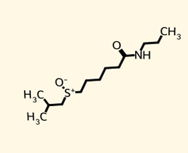 CCCNC(=O)CCCCC[S+]([O-])CC(C)C